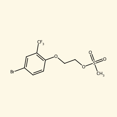 CS(=O)(=O)OCCOc1ccc(Br)cc1C(F)(F)F